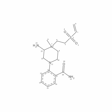 C=CS(=O)(=O)CC[N+]1(C)CCN(c2ccccc2C(N)=O)CC1N